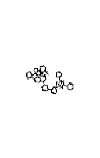 CC1(C)c2ccccc2-c2ccc3c(-c4cccc(-c5cccc(-c6nc(-c7ccccc7)nc(-c7ccccc7)n6)c5)c4)cc4sc5ccccc5c4c3c21